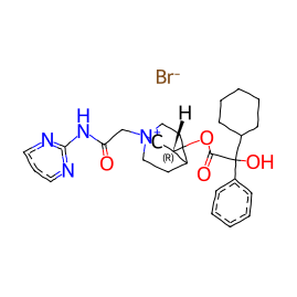 O=C(C[N+]12CCC(CC1)[C@@H](OC(=O)C(O)(c1ccccc1)C1CCCCC1)C2)Nc1ncccn1.[Br-]